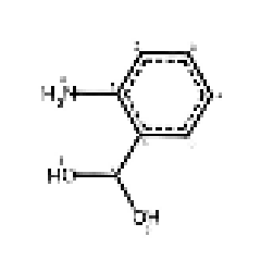 Nc1ccccc1C(O)O